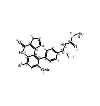 COc1cc(Br)c2[nH]c(=O)c3sccc3c2c1-c1ccc([C@@H](C)NC(=O)OC(C)(C)C)cc1